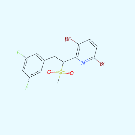 CS(=O)(=O)C(Cc1cc(F)cc(F)c1)c1nc(Br)ccc1Br